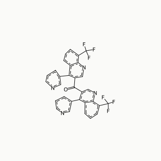 O=C(c1cnc2c(C(F)(F)F)cccc2c1-c1cccnc1)c1cnc2c(C(F)(F)F)cccc2c1-c1cccnc1